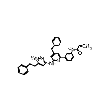 C=CC(=O)Nc1cccc(-c2cc(Cc3ccccc3)cc(Nc3cc(CCc4ccccc4)[nH]n3)n2)c1